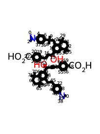 CN(C)c1ccc(C(C)(C)Cc2cc(C(O)C=Cc3ccc(C(=O)O)cc3)cc3c2C(C)(C)CCC3(C)C)cc1.CN(C)c1ccc(CCc2cc(C(O)C#Cc3ccc(C(=O)O)cc3)cc3c2C(C)(C)CCC3(C)C)cc1